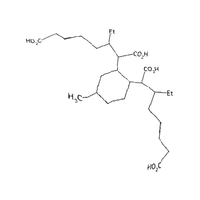 CCC(CCCCC(=O)O)C(C(=O)O)C1CCC(C)CC1C(C(=O)O)C(CC)CCCCC(=O)O